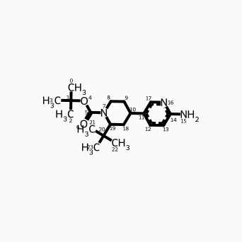 CC(C)(C)OC(=O)N1CCC(c2ccc(N)nc2)CC1C(C)(C)C